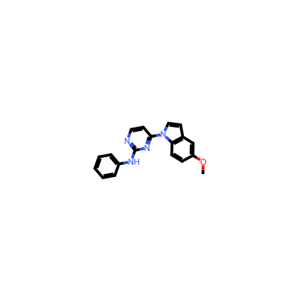 COc1ccc2c(ccn2-c2ccnc(Nc3ccccc3)n2)c1